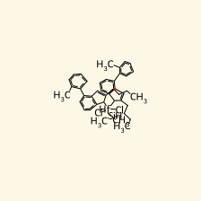 CCCCC1=Cc2c(-c3ccccc3C)cccc2[CH]1[Hf]([Cl])([Cl])([CH]1C(CCCC)=Cc2c(-c3ccccc3C)cccc21)[SiH](C)C